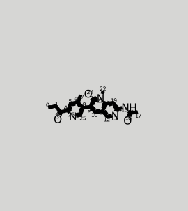 CCC(=O)c1cc(C)c(-c2cc3cnc(NC(C)=O)cc3n(C)c2=O)cn1